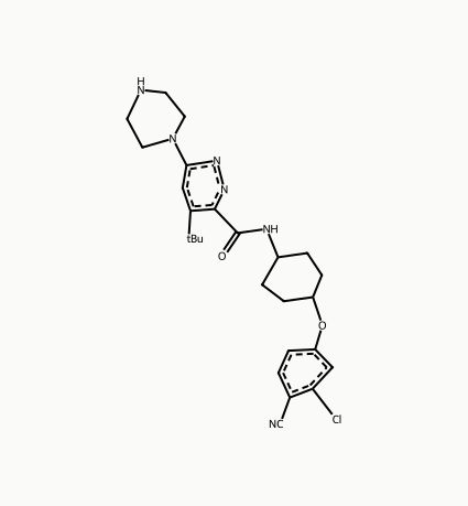 CC(C)(C)c1cc(N2CCNCC2)nnc1C(=O)NC1CCC(Oc2ccc(C#N)c(Cl)c2)CC1